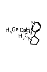 CN1CCCC1c1cccnc1.P.[CaH2].[GeH4]